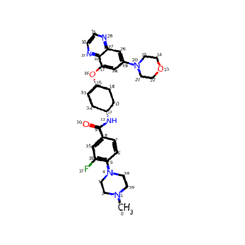 CN1CCN(c2ccc(C(=O)N[C@H]3CC[C@@H](Oc4cc(N5CCOCC5)cc5nccnc45)CC3)cc2F)CC1